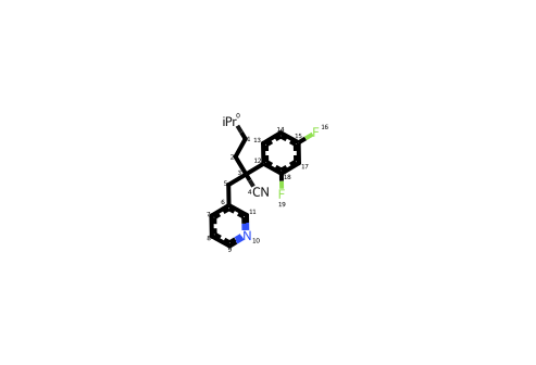 CC(C)CCC(C#N)(Cc1cccnc1)c1ccc(F)cc1F